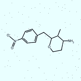 CC1C(N)CCOC1Cc1ccc([N+](=O)[O-])cc1